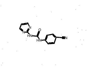 N#Cc1ccc(NC(=O)Nc2ncccn2)cc1